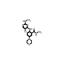 CNC(=O)c1cc(N2CCOCC2)ccc1Nc1nc(NC)ncc1Cl